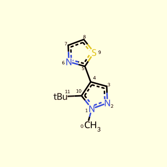 Cn1ncc(-c2nccs2)c1C(C)(C)C